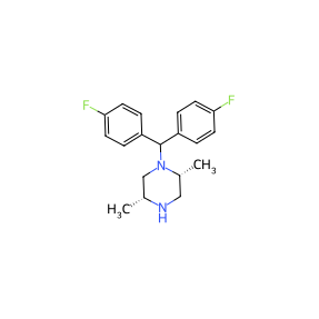 C[C@@H]1CN(C(c2ccc(F)cc2)c2ccc(F)cc2)[C@H](C)CN1